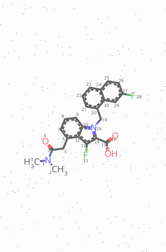 CN(C)C(=O)Cc1cccc2c1c(F)c(C(=O)O)n2Cc1cccc2ccc(F)cc12